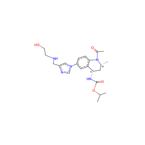 CC(=O)N1c2ccc(-n3cnc(CNCCO)c3)cc2[C@@H](NC(=O)OC(C)C)C[C@H]1C